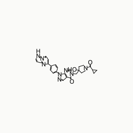 O=C(C1CC1)N1CCC(O)(Cn2cnc3c(cnn3-c3ccc(-c4cc[n+]5[nH]ccc5n4)cc3)c2=O)CC1